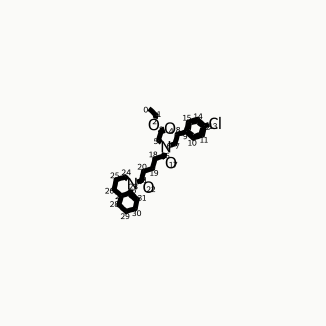 CCOC(=O)CN(CCc1ccc(Cl)cc1)C(=O)CCCC(=O)N1CCCC2CCCC=C21